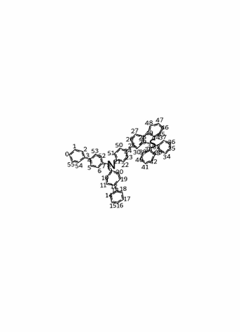 c1ccc(-c2ccc(N(c3ccc(-c4ccccc4)cc3)c3ccc(-c4ccc5c(c4)S(c4ccccc4)(c4ccccc4)c4ccccc4-5)cc3)cc2)cc1